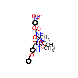 C[C@@H](NC(=O)[C@H](Cc1ccc(OCc2ccccc2)cc1)NC(=O)OC(C)(C)C)C(=O)NCC(=O)Oc1ccc([N+](=O)[O-])cc1